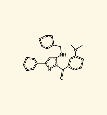 CN(C)c1cccc(C(=O)n2nc(-c3ccccc3)cc2NCc2ccccc2)c1